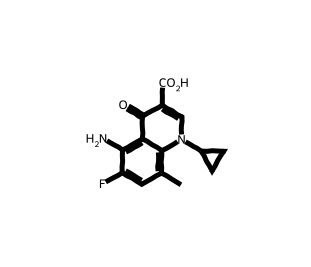 Cc1cc(F)c(N)c2c(=O)c(C(=O)O)cn(C3CC3)c12